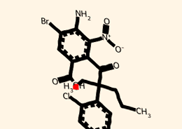 CCCC(CC)(C(=O)c1c(C(=O)O)cc(Br)c(N)c1[N+](=O)[O-])c1ccccc1Cl